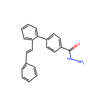 NNC(=O)c1ccc(-c2ccccc2C=Cc2ccccc2)cc1